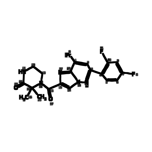 CC(C)c1cc(-c2ccc(F)cc2F)nn2cc(C(=O)N3CCNC(=O)C3(C)C)nc12